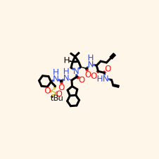 C#CCCC(NC(=O)[C@@H]1C2[C@H](CN1C(=O)[C@@H](NC(=O)NC1(CS(=O)(=O)C(C)(C)C)CCCCC1)C1CC3CCCCC3C1)C2(C)C)C(=O)C(=O)NCC=C